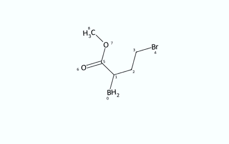 BC(CCBr)C(=O)OC